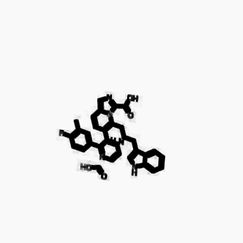 Cc1cc(-c2ncccc2-c2ccc3cnc(C(=O)O)n3c2CC(N)Cc2c[nH]c3ccccc23)ccc1F.O=CO